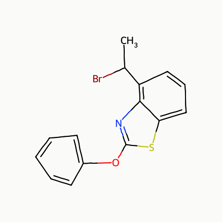 CC(Br)c1cccc2sc(Oc3ccccc3)nc12